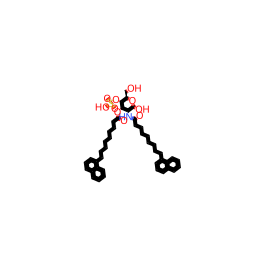 O=C(CCCCCCCCc1cccc2ccccc12)N[C@H]1C(O)O[C@H](CO)[C@@H](OS(=O)(=O)O)[C@@H]1OC(=O)CCCCCCCCc1cccc2ccccc12